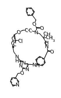 CC1(C)CNC(=O)c2ccc(cc2)Nc2nc(nc(OCc3cccnc3)n2)NCc2ccc(c(Cl)c2)OCCCN(C(=O)OCc2ccccc2)C1